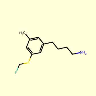 Cc1cc(CCCCN)cc(SCF)c1